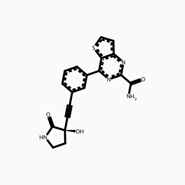 NC(=O)c1nc(-c2cccc(C#C[C@]3(O)CCNC3=O)c2)c2sccc2n1